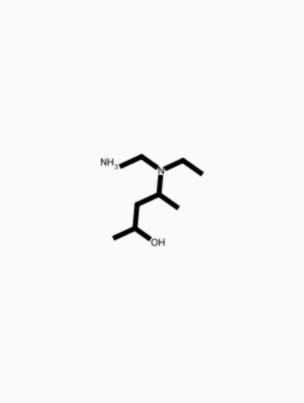 CCN(CC)C(C)CC(C)O.N